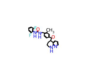 Cc1cc(C(=O)C2CCCNc3ncccc32)ccc1CNC(=O)Nc1c(F)cccc1F